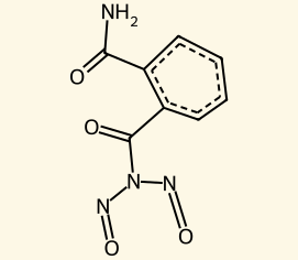 NC(=O)c1ccccc1C(=O)N(N=O)N=O